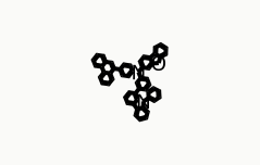 c1ccc(-n2c3ccccc3c3cccc(-c4cccc(N(c5ccc(-c6cc7ccccc7c7ccccc67)cc5)c5ccc6c(c5)oc5ccccc56)c4)c32)cc1